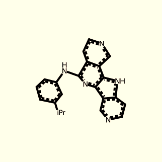 CC(C)c1cccc(Nc2nc3c4cnccc4[nH]c3c3cnccc23)c1